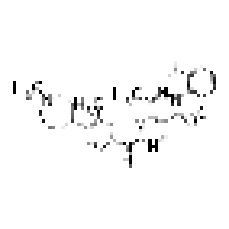 Cc1cc(Nc2ncc3c(=O)n(-c4c(Cl)cccc4Cl)nc(C)c3n2)ccc1C1CCCN(C)CC1